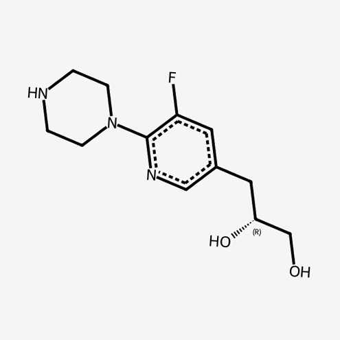 OC[C@H](O)Cc1cnc(N2CCNCC2)c(F)c1